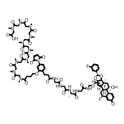 C[C@H](NC(=O)CNC(=O)CNC(=O)CCc1ccc(N2C(=O)C=CC2=O)cc1OCCCC(=O)N(C)CC(=O)N(C)CC(=O)N(C)CC(=O)N(C)CC(=O)N(C)CC(=O)N(C)CC(=O)N(C)CC(=O)N(C)CC(=O)N(C)CC(=O)N(C)CC(=O)O)C(=O)NCC(=O)NCOCC(=O)[C@@]12O[C@H](c3cccc(F)c3)O[C@@H]1C[C@H]1[C@@H]3C[C@H](F)C4=CC(=O)C=C[C@]4(C)[C@@]3(F)[C@@H](O)C[C@@]12C